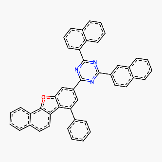 c1ccc(-c2cc(-c3nc(-c4ccc5ccccc5c4)nc(-c4cccc5ccccc45)n3)cc3oc4c5ccccc5ccc4c23)cc1